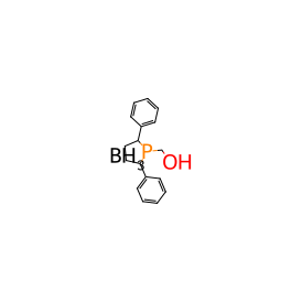 B.OCP1C(c2ccccc2)CCC1c1ccccc1